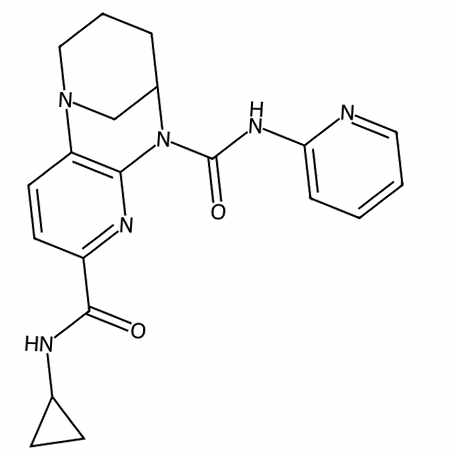 O=C(NC1CC1)c1ccc2c(n1)N(C(=O)Nc1ccccn1)C1CCCN2C1